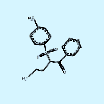 CCCC(C(=O)c1ccccc1)S(=O)(=O)c1ccc(C)cc1